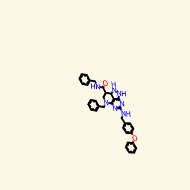 O=C(NCc1ccccc1)C1CN(Cc2ccccc2)c2nc(NCc3ccc(Oc4ccccc4)cc3)nc3c2C1NN3